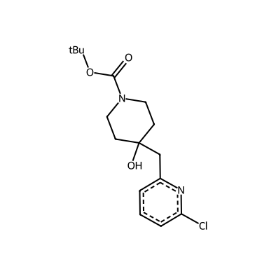 CC(C)(C)OC(=O)N1CCC(O)(Cc2cccc(Cl)n2)CC1